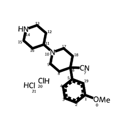 COc1cccc(C2(C#N)CCN(C3CCNCC3)CC2)c1.Cl.Cl